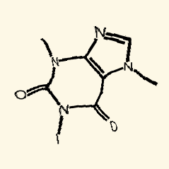 Cn1cnc2c1c(=O)n(I)c(=O)n2C